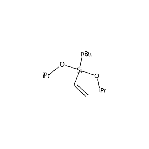 C=C[Si](CCCC)(OC(C)C)OC(C)C